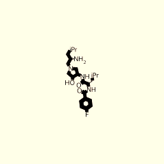 CC(C)C[C@H](N)CN1CC(O)C(NC(=O)[C@H](CC(C)C)NC(=O)c2ccc(F)cc2)C1